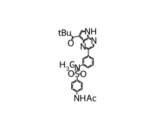 CC(=O)Nc1ccc(S(=O)(=O)N(C)c2cccc(-c3cnc4[nH]cc(C(=O)C(C)(C)C)c4n3)c2)cc1